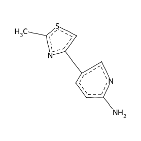 Cc1nc(-c2ccc(N)nc2)cs1